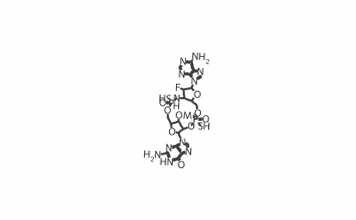 COC1C2COP(=O)(S)NC3C(COP(=O)(S)OC1C(n1cnc4c(=O)[nH]c(N)nc41)O2)OC(n1cnc2c(N)ncnc21)C3F